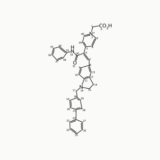 O=C(O)C[n+]1ccc(/C(=C/c2ccc3c(c2)CCN3Cc2ccc(-c3ccccc3)cc2)C(=O)Nc2ccccc2)cc1